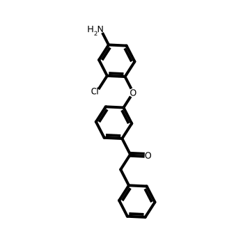 Nc1ccc(Oc2cccc(C(=O)Cc3ccccc3)c2)c(Cl)c1